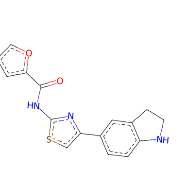 O=C(Nc1nc(-c2ccc3c(c2)CCN3)cs1)c1ccco1